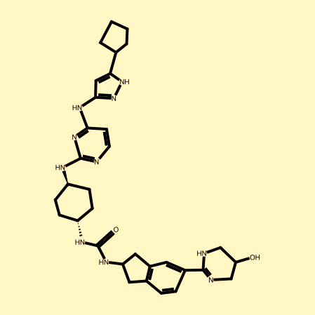 O=C(NC1Cc2ccc(C3=NCC(O)CN3)cc2C1)N[C@H]1CC[C@H](Nc2nccc(Nc3cc(C4CCCC4)[nH]n3)n2)CC1